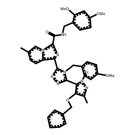 CCn1nc(C)c(OCc2ccccc2)c1-c1nnc(-c2nc(C(=O)NCc3ccc(OC)cc3OC)n3cc(C)ccc23)n1Cc1ccc(OC)cc1